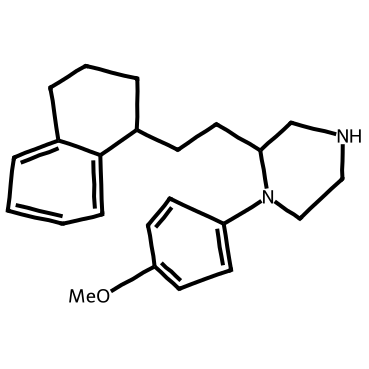 COc1ccc(N2CCNCC2CCC2CCCc3ccccc32)cc1